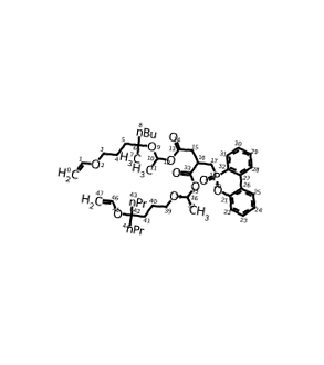 C=COCCCC(C)(CCCC)OC(C)OC(=O)CC(CP1(=O)Oc2ccccc2-c2ccccc21)C(=O)OC(C)OCCCC(CCC)(CCC)OC=C